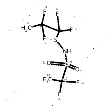 CC(F)(F)C(F)(F)SNS(=O)(=O)C(F)(F)C(F)(F)F